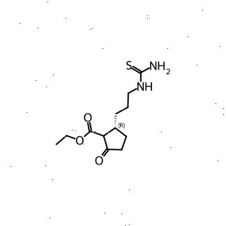 CCOC(=O)C1C(=O)CC[C@H]1CCCNC(N)=S